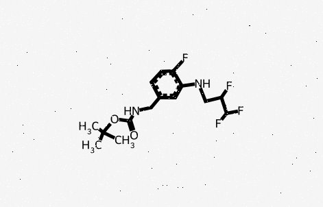 CC(C)(C)OC(=O)NCc1ccc(F)c(NCC(F)C(F)F)c1